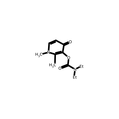 CCN(CC)C(=O)Oc1c(C)n(C)ccc1=O